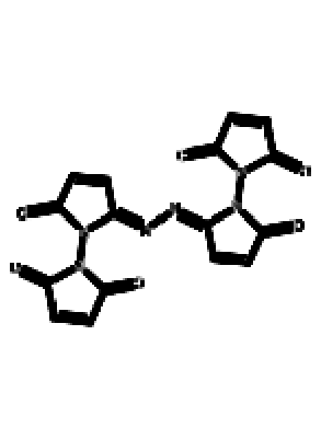 O=C1C=CC(=O)N1N1C(=O)C=CC1=NN=C1C=CC(=O)N1N1C(=O)C=CC1=O